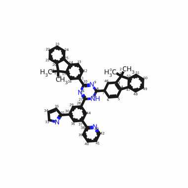 CC1(C)C2=C(C=CC(C3N=C(c4ccc5c(c4)C(C)(C)c4ccccc4-5)N=C(c4cc(C5=NCC=C5)cc(-c5ccccn5)c4)N3)C2)c2ccccc21